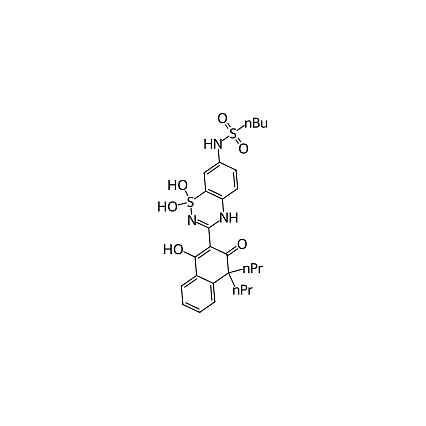 CCCCS(=O)(=O)Nc1ccc2c(c1)S(O)(O)N=C(C1=C(O)c3ccccc3C(CCC)(CCC)C1=O)N2